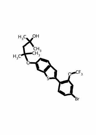 CC(C)(O)CC(C)(C)Oc1ccc2cc(-c3ccc(Br)cc3OC(F)(F)F)sc2c1